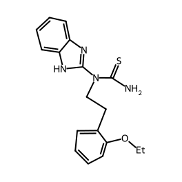 CCOc1ccccc1CCN(C(N)=S)c1nc2ccccc2[nH]1